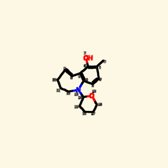 Cc1ccc2c(c1O)/C=C/CCCN2C1CCCCO1